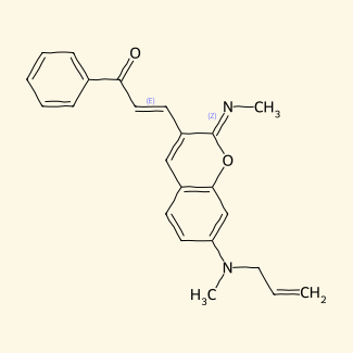 C=CCN(C)c1ccc2cc(/C=C/C(=O)c3ccccc3)/c(=N/C)oc2c1